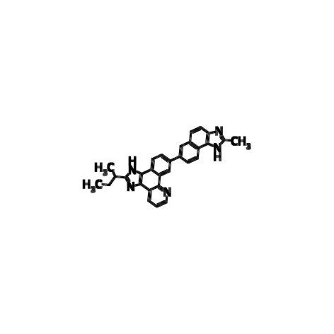 CCC(C)c1nc2c3cccnc3c3cc(-c4ccc5c(ccc6nc(C)[nH]c65)c4)ccc3c2[nH]1